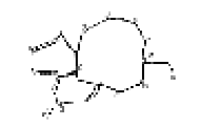 CCn1cc2c3c(cccc31)OCCCN(C)CC2